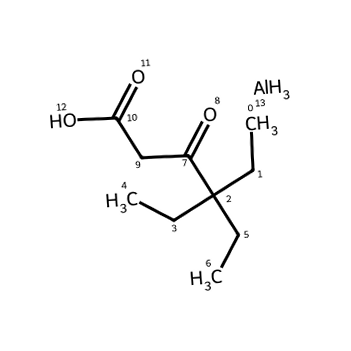 CCC(CC)(CC)C(=O)CC(=O)O.[AlH3]